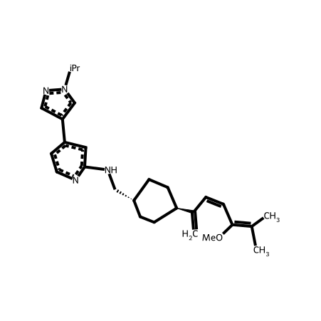 C=C(/C=C\C(OC)=C(C)C)[C@H]1CC[C@H](CNc2cc(-c3cnn(C(C)C)c3)ccn2)CC1